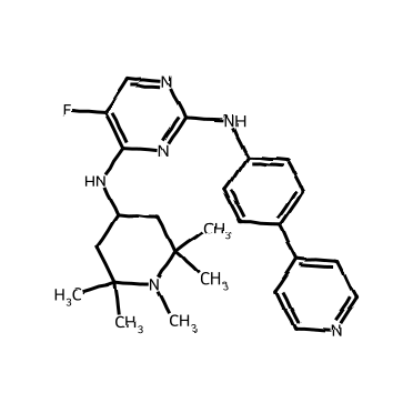 CN1C(C)(C)CC(Nc2nc(Nc3ccc(-c4ccncc4)cc3)ncc2F)CC1(C)C